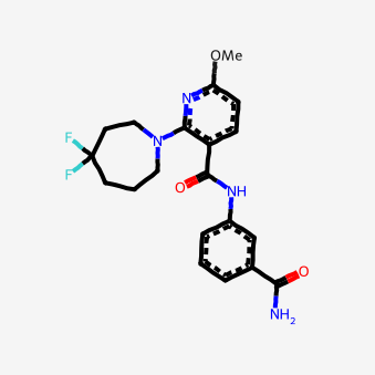 COc1ccc(C(=O)Nc2cccc(C(N)=O)c2)c(N2CCCC(F)(F)CC2)n1